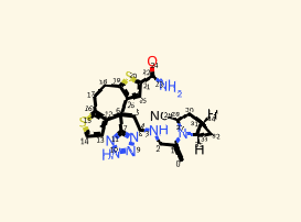 C=C(CNCCC1(c2nn[nH]n2)c2ccsc2CCc2sc(C(N)=O)cc21)N1C(C#N)C[C@@H]2C[C@@H]21